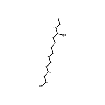 CCOC(O)COCCOCCOCCO